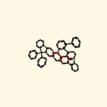 c1ccc(-c2ccccc2-c2c(-c3ccccc3)cccc2N(c2ccc3c(c2)-c2ccccc2C3(c2ccccc2)c2ccccc2)c2ccc3c(c2)oc2ccccc23)cc1